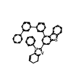 C1=Cc2c(nc(-c3cc(-c4cccc(-c5cccc(-c6ccccc6)c5)c4)c4c(c3)sc3ccccc34)n2-c2ccccc2)CC1